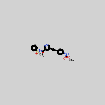 CC(C)(C)OC(=O)Nc1ccc(C#Cc2cncc(C(=O)N=[S@@](C)(=O)c3ccccc3)c2)cc1